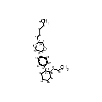 CCCCC[C@H]1CO[C@H](c2ccc([C@@H]3CCCC[C@H]3CCC)cc2)CO1